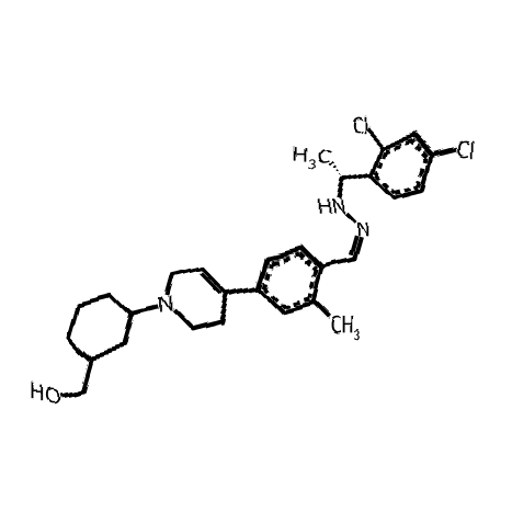 Cc1cc(C2=CCN(C3CCCC(CO)C3)CC2)ccc1/C=N\N[C@H](C)c1ccc(Cl)cc1Cl